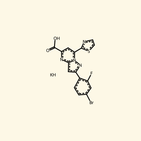 O=C(O)c1cc(-c2nccs2)n2nc(-c3ccc(Br)cc3F)cc2n1.[KH]